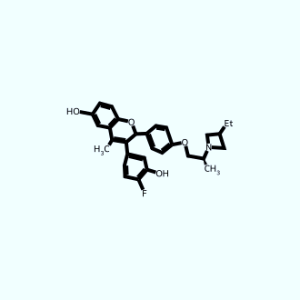 CCC1CN([C@@H](C)COc2ccc(C3Oc4ccc(O)cc4C(C)=C3c3ccc(F)c(O)c3)cc2)C1